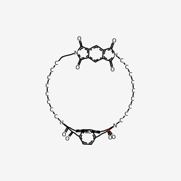 O=C1c2ccc3c4c5ccc(c24)C(=O)N1CCCCCCCCCn1c(=O)c2cc4c(=O)n(c(=O)c4cc2c1=O)CCCCCCCCCN(C3=O)C5=O